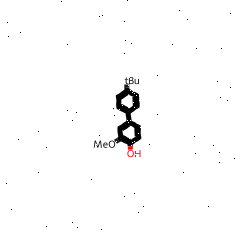 COc1cc(-c2ccc(C(C)(C)C)cc2)ccc1O